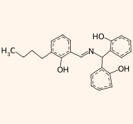 CCCCc1cccc(/C=N/C(c2ccccc2O)c2ccccc2O)c1O